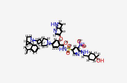 CC(C)c1ccccc1C12CC1CCN2C1CC2(CCN(c3ccc(C(=O)NS(=O)(=O)c4cnc(NCC5CCC(C)(O)CC5)c([N+](=O)[O-])c4)c(Oc4cnc5[nH]ccc5c4)c3)CC2)C1